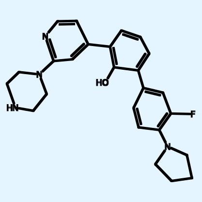 Oc1c(-c2ccnc(N3CCNCC3)c2)cccc1-c1ccc(N2CCCC2)c(F)c1